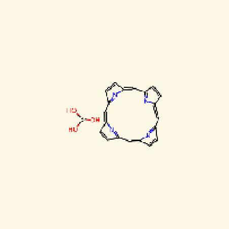 C1=CC2=NC1=CC1=NC(=CC3=NC(=CC4=NC(=C2)C=C4)C=C3)C=C1.OB(O)O